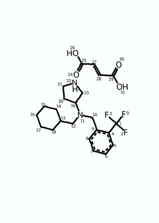 FC(F)(F)c1ccccc1CN(CC1CCCCC1)C1CCNC1.O=C(O)/C=C/C(=O)O